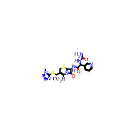 Cn1nnnc1SCC1=C(C(=O)O)N2C(=O)[C@@H](NC(=O)C(NC(N)=O)c3cccnc3)C2SC1